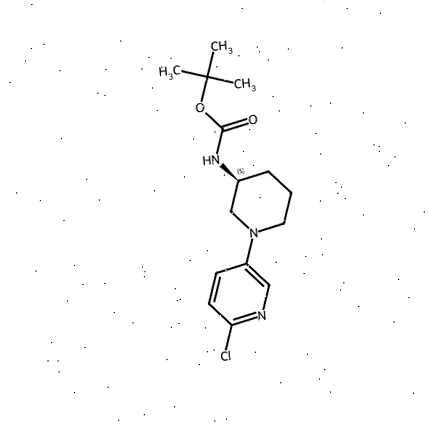 CC(C)(C)OC(=O)N[C@H]1CCCN(c2ccc(Cl)nc2)C1